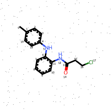 Cc1ccc(Nc2ccccc2NC(=O)CCCl)cc1